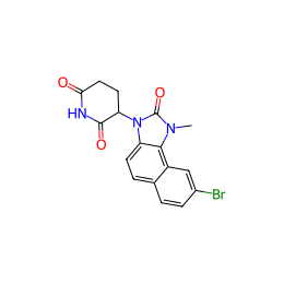 Cn1c(=O)n(C2CCC(=O)NC2=O)c2ccc3ccc(Br)cc3c21